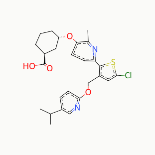 Cc1nc(-c2sc(Cl)cc2COc2ccc(C(C)C)cn2)ccc1O[C@H]1CCC[C@H](C(=O)O)C1